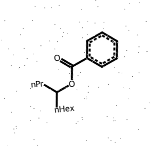 CCCCCCC(CCC)OC(=O)c1ccccc1